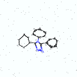 c1ccc(-c2nnc(C3CCCCC3)n2-c2ccccc2)cc1